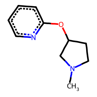 CN1CCC(Oc2ccccn2)C1